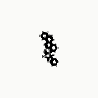 CC1(c2ccccc2)C(=O)NC(=O)N1C1=c2ccc3c(c2CCC1)CC=c1ccccc1=3